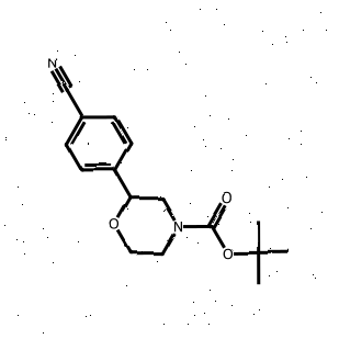 CC(C)(C)OC(=O)N1CCOC(c2ccc(C#N)cc2)C1